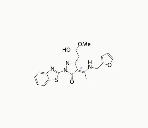 COC(O)CC1=NN(c2nc3ccccc3s2)C(=O)/C1=C(\C)NCc1ccco1